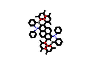 Cc1cc(C)c(B2c3ccccc3N(c3ccccc3)c3c2c(-c2c(C)cc(C)cc2C)c2ccc4c5c(c(-c6c(C)cc(C)cc6C)c6ccc3c2c64)B(c2c(C)cc(C)cc2C)c2ccccc2N5c2ccccc2)c(C)c1